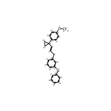 FC(F)(F)Oc1ccc(C2(C=CCc3cccc(Oc4ccccc4)c3)CC2)cc1